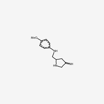 COc1ccc(NCC2CC(=N)CN2)cc1